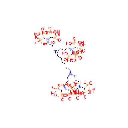 O=P(O)(O)C(N(CCCN(CCCCCCN(CCCN(C(P(=O)(O)O)P(=O)(O)O)C(P(=O)(O)O)P(=O)(O)O)CCCN(C(P(=O)(O)O)P(=O)(O)O)C(P(=O)(O)O)P(=O)(O)O)CCCN(C(P(=O)(O)O)P(=O)(O)O)C(P(=O)(O)O)P(=O)(O)O)C(P(=O)(O)O)P(=O)(O)O)P(=O)(O)O